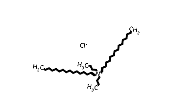 CCCCCCCCCCCCCCC=C[N+](C=CCCCCCCCCCCCCCC)(CCCC)CCCC.[Cl-]